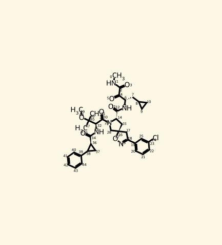 CNC(=O)C(=O)[C@H](CC1CC1)NC(=O)[C@@H]1C[C@]2(CC(c3cccc(Cl)c3)=NO2)CN1C(=O)[C@@H](NC(=O)[C@H]1CC1c1ccccc1)C(C)(C)OC